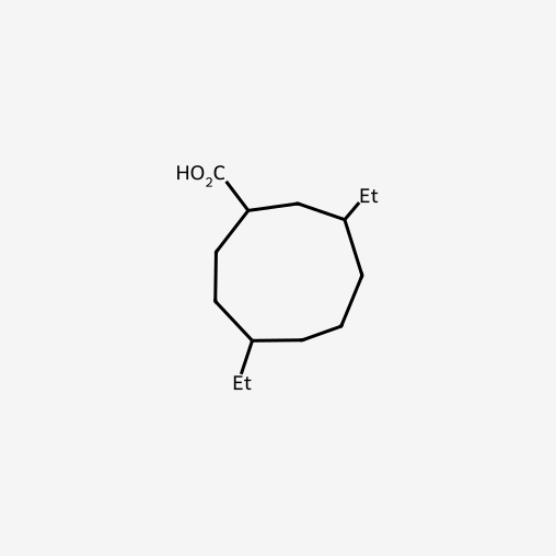 CCC1CCCC(CC)CC(C(=O)O)CC1